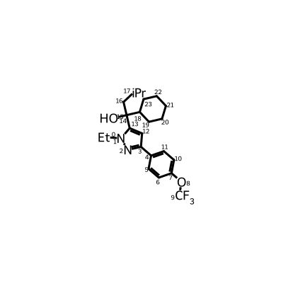 CCn1nc(-c2ccc(OC(F)(F)F)cc2)cc1C(O)(CC(C)C)C1CCCCC1